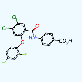 O=C(O)c1ccc(NC(=O)c2cc(Cl)c(Cl)cc2Oc2ccc(F)cc2F)cc1